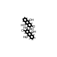 Oc1c2ccccc2c(O)c2c3c(c(Cl)cc12)Nc1c(c(Cl)cc2c(O)c4ccccc4c(O)c12)N3